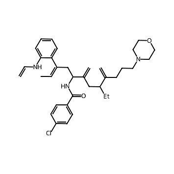 C=CNc1ccccc1/C(=C\C)CC(NC(=O)c1ccc(Cl)cc1)C(=C)CC(CC)C(=C)CCCN1CCOCC1